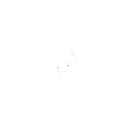 CC#CC[C@H](C)C(=O)CP(=O)(CO)CO